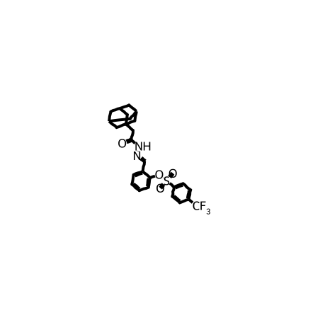 O=C(CC12CC3CC(CC(C3)C1)C2)N/N=C/c1ccccc1OS(=O)(=O)c1ccc(C(F)(F)F)cc1